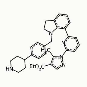 CCOC(=O)c1cnn(-c2cccc(-c3cccc4c3N(Cc3ccc(C5CCNCC5)cc3)CC4)n2)c1C